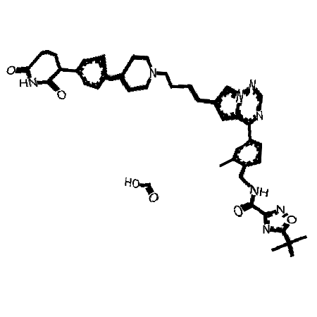 Cc1cc(-c2ncnn3cc(CCCCN4CCC(c5ccc(C6CCC(=O)NC6=O)cc5)CC4)cc23)ccc1CNC(=O)c1noc(C(C)(C)C)n1.O=CO